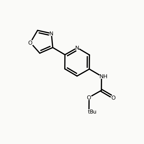 CC(C)(C)OC(=O)Nc1ccc(-c2cocn2)nc1